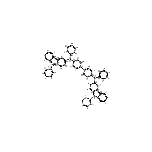 C1=CCCC(n2c3ccccc3c3cc(N(c4ccccc4)c4ccc(-c5ccc(N(c6ccccc6)c6ccc7c(c6)c6ccccc6n7-c6ccccc6)cc5)cc4)ccc32)=C1